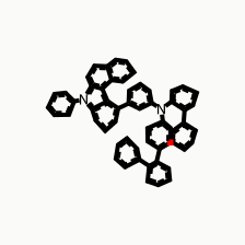 c1ccc(-c2ccccc2-c2ccc(N(c3cccc(-c4cccc5c4c4c6ccccc6ccc4n5-c4ccccc4)c3)c3ccccc3-c3ccccc3)cc2)cc1